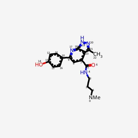 CNCCCNC(=O)c1cc(-c2ccc(O)cc2)nc2[nH]nc(C)c12